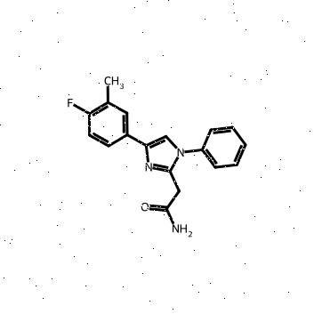 Cc1cc(-c2cn(-c3ccccc3)c(CC(N)=O)n2)ccc1F